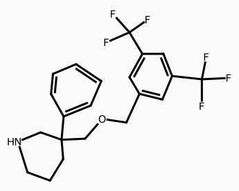 FC(F)(F)c1cc(COCC2(c3ccccc3)CCCNC2)cc(C(F)(F)F)c1